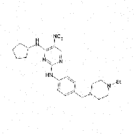 CCN1CCN(Cc2ccc(Nc3ncc([N+](=O)[O-])c(NC4CCCC4)n3)cc2)CC1